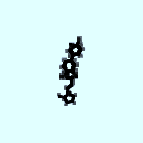 C[C@@H]1CCCN1CCc1nc2cc(-c3ccc(F)nc3)ccc2[nH]1